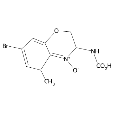 CC1C=C(Br)C=C2OCC(NC(=O)O)[N+]([O-])=C21